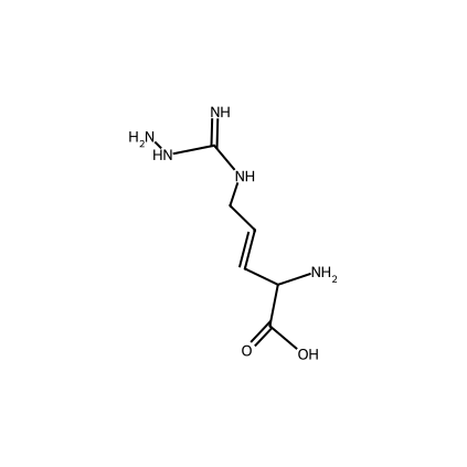 N=C(NN)NC/C=C/C(N)C(=O)O